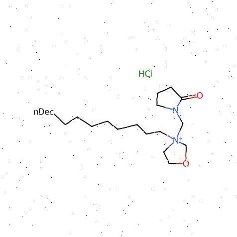 CCCCCCCCCCCCCCCCCC[N+]1(CN2CCCC2=O)CCOC1.Cl